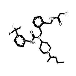 CCCC(C)N1CCC(N(Cc2ccccc2CNC(=O)CCl)C(=O)Nc2cccc(C(F)(F)F)c2)CC1